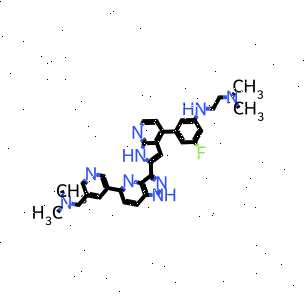 CN(C)CCNc1cc(F)cc(-c2ccnc3[nH]c(-c4n[nH]c5ccc(-c6cncc(CN(C)C)c6)nc45)cc23)c1